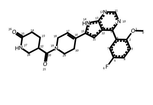 COc1ccc(F)cc1-c1ncnc2[nH]c(C3=CCN(C(=O)C4CCC(=O)NC4)CC3)cc12